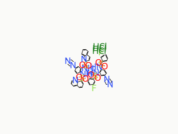 CN1CCN(c2ccc(NS(=O)(=O)c3cccc(F)c3)c(NS(=O)(=O)c3cccc(F)c3)c2)CC1.CN1CCN(c2ccc(NS(=O)(=O)c3cccc4cccnc34)c(NS(=O)(=O)c3ccc4ccccc4n3)c2)CC1.Cl.Cl.Cl